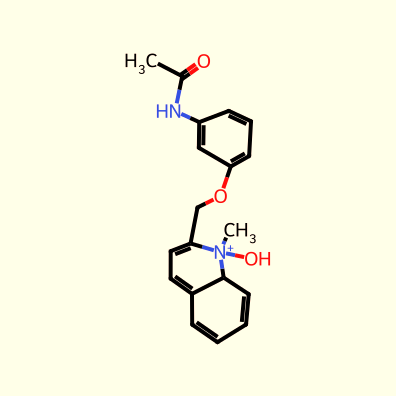 CC(=O)Nc1cccc(OCC2=CC=C3C=CC=CC3[N+]2(C)O)c1